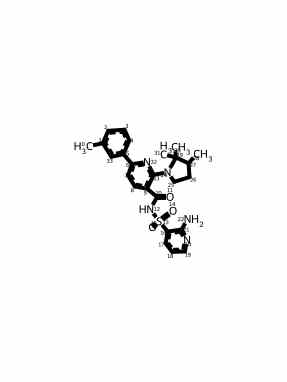 Cc1cccc(-c2ccc(C(=O)NS(=O)(=O)c3cccnc3N)c(N3CCC(C)C3(C)C)n2)c1